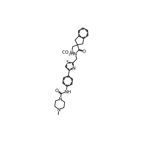 CN1CCN(C(=O)Nc2ccc(-c3csc(CNC(=O)C4(CC(=O)O)Cc5ccccc5C4)n3)cc2)CC1